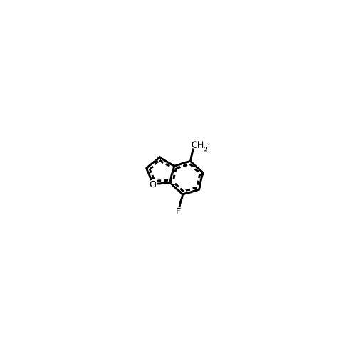 [CH2]c1ccc(F)c2occc12